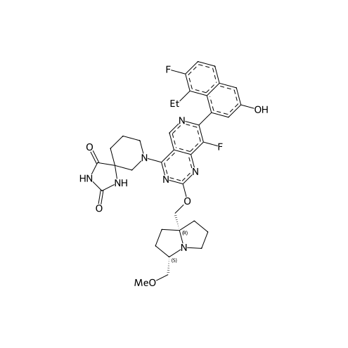 CCc1c(F)ccc2cc(O)cc(-c3ncc4c(N5CCCC6(C5)NC(=O)NC6=O)nc(OC[C@]56CCCN5[C@H](COC)CC6)nc4c3F)c12